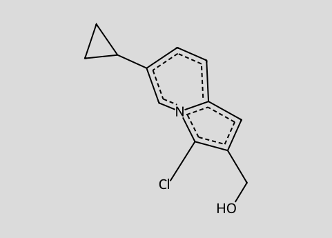 OCc1cc2ccc(C3CC3)cn2c1Cl